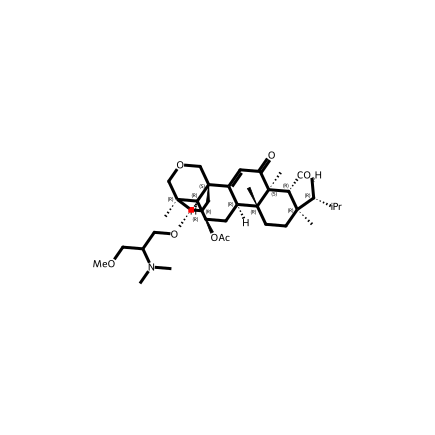 COCC(CO[C@H]1[C@H](OC(C)=O)C[C@]23COC[C@@]1(C)[C@@H]2CC[C@H]1C3=CC(=O)[C@@]2(C)[C@H](C(=O)O)[C@@](C)([C@H](C)C(C)C)CC[C@]12C)N(C)C